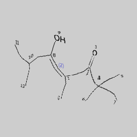 C/C(C(=O)C(C)(C)C)=C(/O)C(C)C